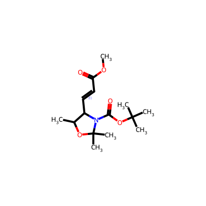 COC(=O)/C=C/C1C(C)OC(C)(C)N1C(=O)OC(C)(C)C